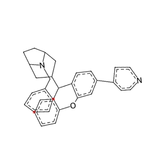 c1ccc(CN2C3CCC2CC(C2c4ccccc4Oc4cc(-c5ccncc5)ccc42)C3)cc1